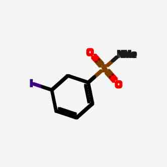 CNS(=O)(=O)C1=CC=CC(I)C1